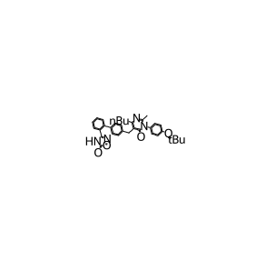 CCCCc1nc(C)n(-c2ccc(OC(C)(C)C)cc2)c(=O)c1Cc1ccc(-c2ccccc2-c2noc(=O)[nH]2)cc1